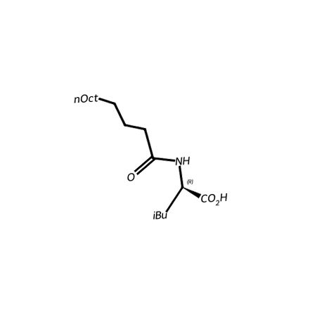 CCCCCCCCCCCC(=O)N[C@@H](C(=O)O)C(C)CC